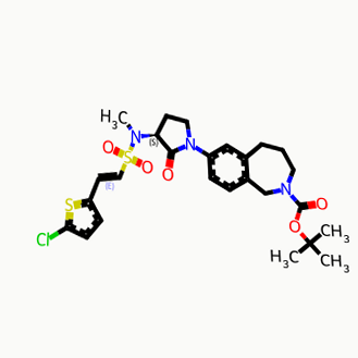 CN([C@H]1CCN(c2ccc3c(c2)CCCN(C(=O)OC(C)(C)C)C3)C1=O)S(=O)(=O)/C=C/c1ccc(Cl)s1